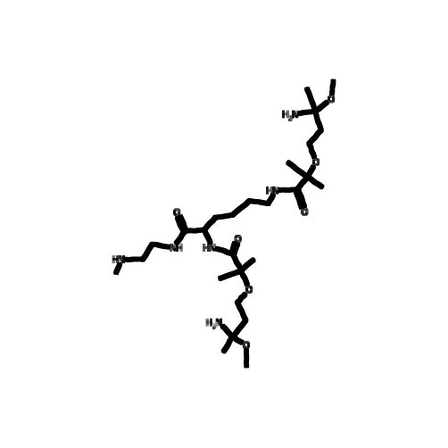 CNCCNC(=O)C(CCCCNC(=O)C(C)(C)OCCC(C)(N)OC)NC(=O)C(C)(C)OCCC(C)(N)OC